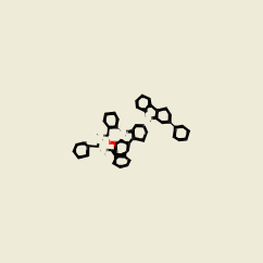 c1ccc(C2=NC(c3ccccc3-n3c4ccccc4c4ccc(-n5c6ccccc6c6ccc(-c7ccccc7)cc65)cc43)NC(c3ccccc3)=N2)cc1